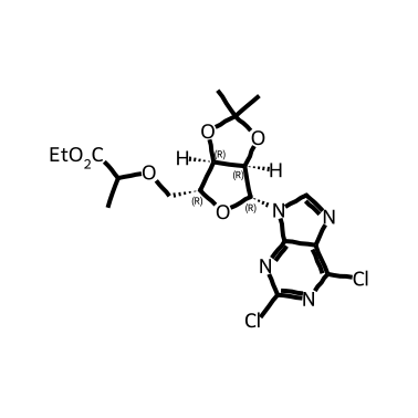 CCOC(=O)C(C)OC[C@H]1O[C@@H](n2cnc3c(Cl)nc(Cl)nc32)[C@@H]2OC(C)(C)O[C@@H]21